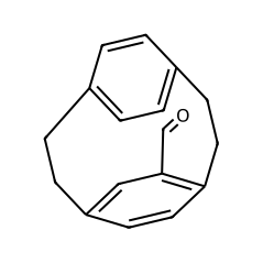 O=Cc1cc2ccc1CCc1ccc(cc1)CC2